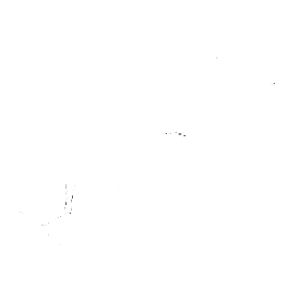 C=C(C)C(=O)Oc1ccc(-c2ccc(C(O)C(C)(C)O)cc2)cc1